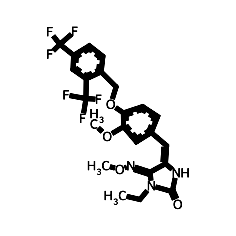 CCN1C(=O)NC(=Cc2ccc(OCc3ccc(C(F)(F)F)cc3C(F)(F)F)c(OC)c2)C1=NOC